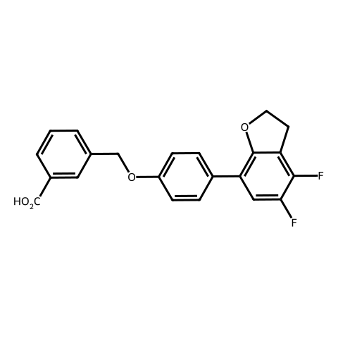 O=C(O)c1cccc(COc2ccc(-c3cc(F)c(F)c4c3OCC4)cc2)c1